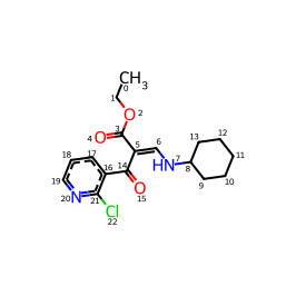 CCOC(=O)/C(=C/NC1CCCCC1)C(=O)c1cccnc1Cl